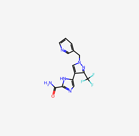 NC(=O)c1ncc(-c2cn(Cc3cccnc3)nc2C(F)(F)F)[nH]1